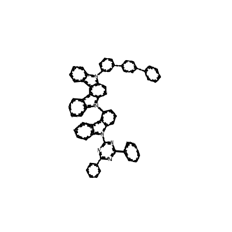 c1ccc(-c2ccc(-c3cccc(-n4c5ccccc5c5c6c7ccccc7n(-c7cccc8c7c7ccccc7n8-c7nc(-c8ccccc8)nc(-c8ccccc8)n7)c6ccc54)c3)cc2)cc1